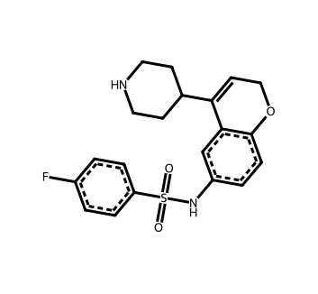 O=S(=O)(Nc1ccc2c(c1)C(C1CCNCC1)=CCO2)c1ccc(F)cc1